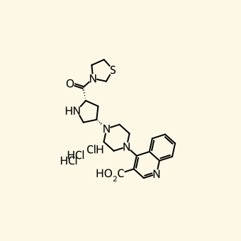 Cl.Cl.Cl.O=C(O)c1cnc2ccccc2c1N1CCN([C@@H]2CN[C@H](C(=O)N3CCSC3)C2)CC1